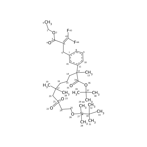 CCOC(=O)C(Cc1cccc(C(C)(CCCC(C)(C)CS(=O)(=O)CCO[Si](C)(C)C(C)(C)C)C(=O)OC(C)(C)C)c1)=C(F)F